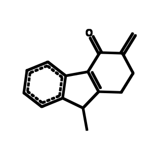 C=C1CCC2=C(C1=O)c1ccccc1C2C